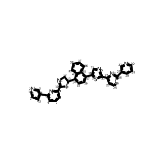 c1cncc(-c2cccc(C3=NCC(c4ccc(-c5cnc(-c6cccc(-c7cccnc7)n6)s5)c5ccccc45)S3)n2)c1